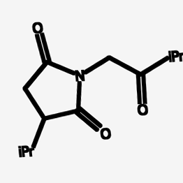 CC(C)C(=O)CN1C(=O)CC(C(C)C)C1=O